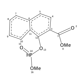 COC(=O)c1ccc2ccccc2c1O[PH](=O)OC